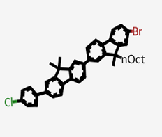 CCCCCCCCC1(C)c2cc(Br)ccc2-c2ccc(-c3ccc4c(c3)C(C)(C)c3cc(-c5ccc(Cl)cc5)ccc3-4)cc21